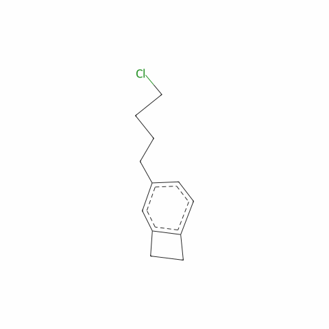 ClCCCCc1ccc2c(c1)CC2